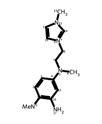 CNc1ccc(N(C)CC[n+]2ccn(C)c2)cc1N